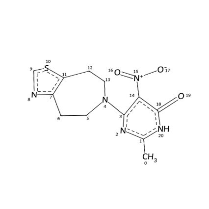 Cc1nc(N2CCc3ncsc3CC2)c([N+](=O)[O-])c(=O)[nH]1